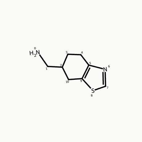 NCC1CCc2ncsc2C1